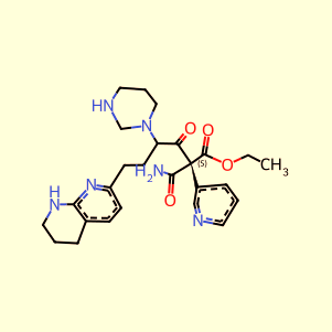 CCOC(=O)[C@](C(N)=O)(C(=O)C(CCc1ccc2c(n1)NCCC2)N1CCCNC1)c1cccnc1